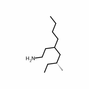 CCCCC(CCN)C[C@H](C)CC